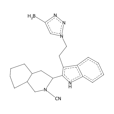 Bc1cn(CCc2c(C3CC4CCCCC4CN3C#N)[nH]c3ccccc23)nn1